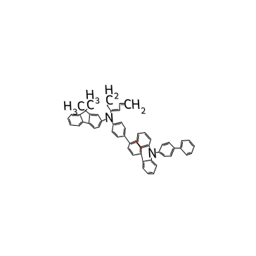 C=C/C=C(\C=C)N(c1ccc(-c2ccc(-c3ccccc3N(c3ccccc3)c3ccc(-c4ccccc4)cc3)cc2)cc1)c1ccc2c(c1)C(C)(C)c1ccccc1-2